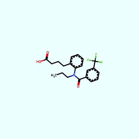 CCCN(C(=O)c1cccc(C(F)(F)F)c1)c1ccccc1CCCC(=O)O